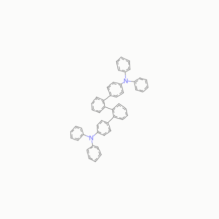 c1ccc(N(c2ccccc2)c2ccc(-c3ccccc3-c3ccccc3-c3ccc(N(c4ccccc4)c4ccccc4)cc3)cc2)cc1